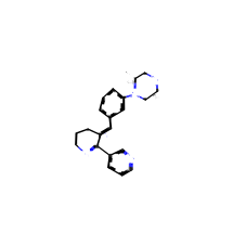 C[C@@H]1CN(c2cccc(/C=C3\CCCN=C3c3cccnc3)c2)[C@@H](C)CN1